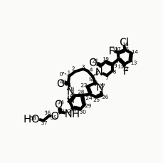 C[C@@H]1CCC[C@H](N2CCC(c3c(F)ccc(Cl)c3F)=CC2=O)c2cc(ccn2)-c2ccc(NC(=O)OCCO)cc2NC1=O